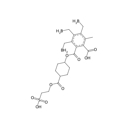 BCc1c(C)c(C(=O)O)c(C(=O)OC2CCC(C(=O)OCCS(=O)(=O)O)CC2)c(CB)c1CB